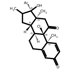 CC(=O)[C@@]1(O)C(C)C[C@H]2[C@@H]3CCC4=CC(=O)C=C[C@]4(C)[C@@]3(Cl)C(=O)C[C@@]21C